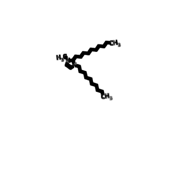 CCCCCCCCCCC1N(C)C=CN1CCCCCCCCCC